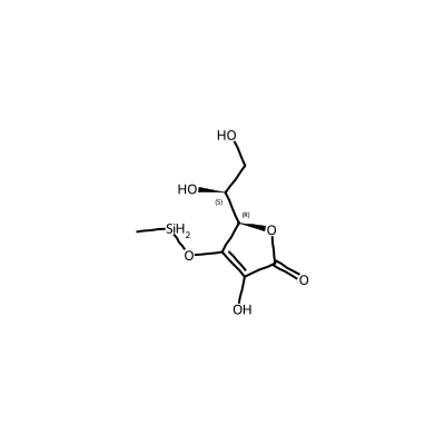 C[SiH2]OC1=C(O)C(=O)O[C@@H]1[C@@H](O)CO